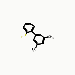 Cc1cc(C)cc(-c2ccccc2S)c1